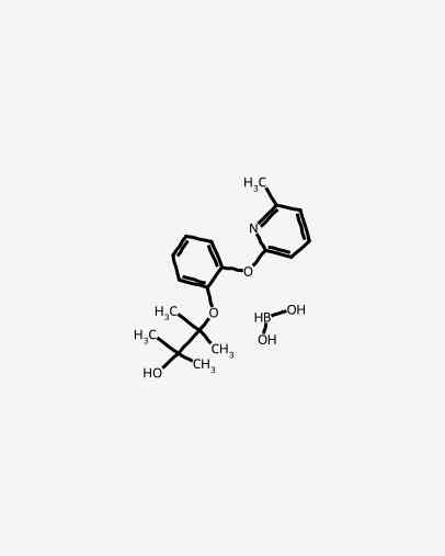 Cc1cccc(Oc2ccccc2OC(C)(C)C(C)(C)O)n1.OBO